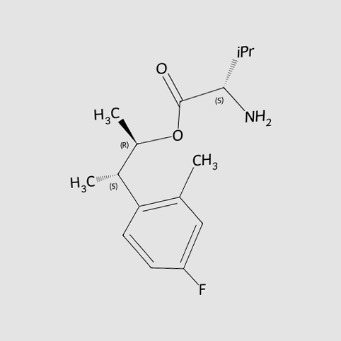 Cc1cc(F)ccc1[C@H](C)[C@@H](C)OC(=O)[C@@H](N)C(C)C